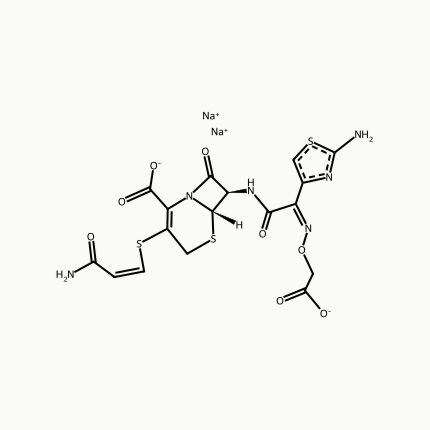 NC(=O)/C=C\SC1=C(C(=O)[O-])N2C(=O)[C@@H](NC(=O)/C(=N\OCC(=O)[O-])c3csc(N)n3)[C@@H]2SC1.[Na+].[Na+]